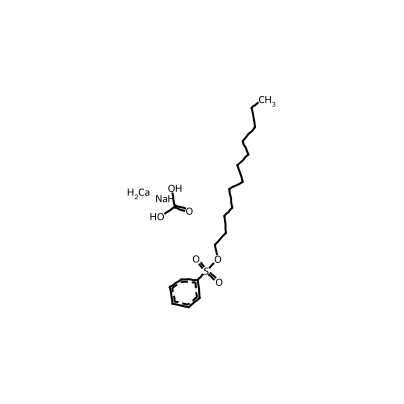 CCCCCCCCCCCCOS(=O)(=O)c1ccccc1.O=C(O)O.[CaH2].[NaH]